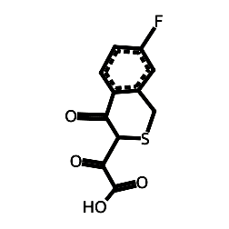 O=C(O)C(=O)C1SCc2cc(F)ccc2C1=O